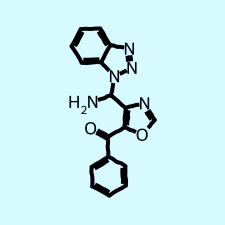 NC(c1ncoc1C(=O)c1ccccc1)n1nnc2ccccc21